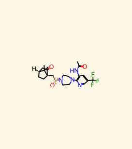 CC(=O)Nc1cc(C(F)(F)F)cnc1N1CCN([S+]([O-])C[C@]23CC[C@H](CC2=O)C3(C)C)CC1